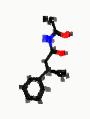 CC(=O)NC(=O)C[C@@H](C)c1ccccc1